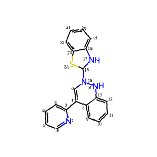 C1=C(c2ccccn2)c2ccccc2NN1C1Nc2ccccc2S1